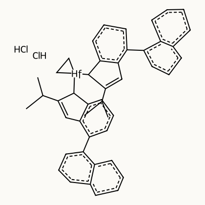 CC(C)C1=Cc2c(-c3cccc4ccccc34)cccc2[CH]1[Hf]1([CH]2C(C(C)C)=Cc3c(-c4cccc5ccccc45)cccc32)[CH2][CH2]1.Cl.Cl